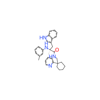 Cc1cccc(N[C@@](C)(Cc2c[nH]c3ccccc23)C(=O)NCC2(c3ccccn3)CCCCC2)c1